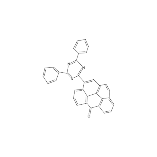 O=C1c2cccc3ccc4cc(-c5nc(-c6ccccc6)nc(-c6ccccc6)n5)c5cccc1c5c4c23